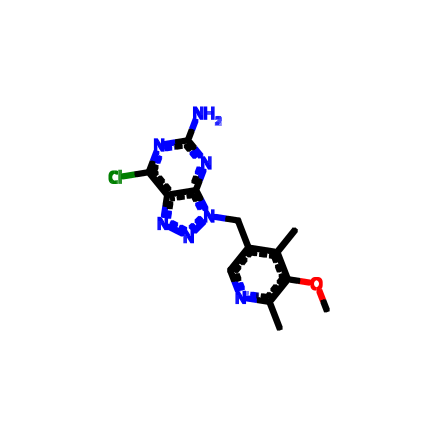 COc1c(C)ncc(Cn2nnc3c(Cl)nc(N)nc32)c1C